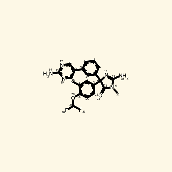 Cc1cc(C2(c3cccc(-c4cnc(N)nc4)c3)N=C(N)N(C)C2=O)ccc1OC(F)F